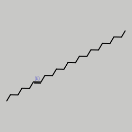 CCCCC/C=C/CCCCCCCCCCCCCCC